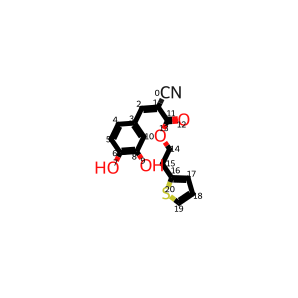 N#CC(=Cc1ccc(O)c(O)c1)C(=O)OCCc1cccs1